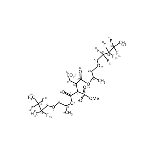 COS(=O)(=O)C(C(=O)OC(C)COCC(C)(F)C(F)(F)C(F)(F)F)C(CC(=O)O)C(=O)OC(C)COCC(F)(F)C(F)(F)C(C)(F)F